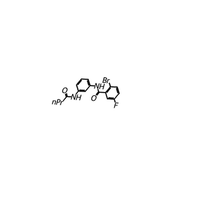 CCCC(=O)Nc1cccc(NC(=O)c2cc(F)ccc2Br)c1